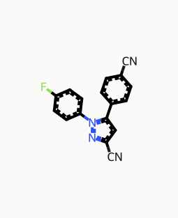 N#Cc1ccc(-c2cc(C#N)nn2-c2ccc(F)cc2)cc1